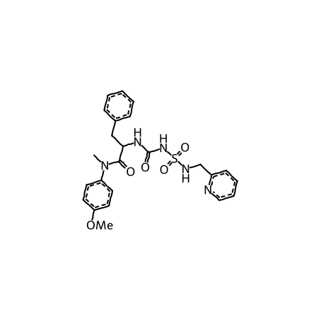 COc1ccc(N(C)C(=O)C(Cc2ccccc2)NC(=O)NS(=O)(=O)NCc2ccccn2)cc1